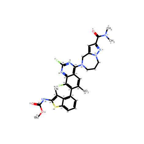 CN(C)C(=O)c1cc2n(n1)CCCN(c1nc(F)nc3c(F)c(-c4cccc5sc(NC(=O)OC(C)(C)C)c(C#N)c45)c([N+](=O)[O-])cc13)C2